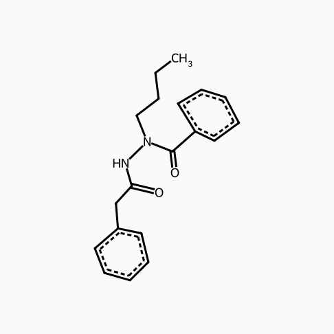 CCCCN(NC(=O)Cc1ccccc1)C(=O)c1ccccc1